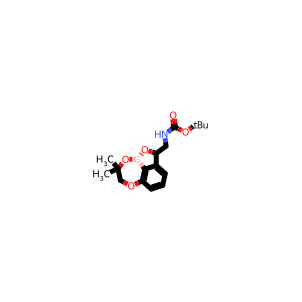 CC(C)(C)OC(=O)NCC1OB2OC(C)(C)COc3cccc1c32